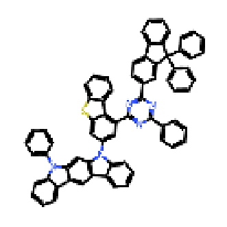 c1ccc(-c2nc(-c3ccc4c(c3)C(c3ccccc3)(c3ccccc3)c3ccccc3-4)nc(-c3cc(-n4c5ccccc5c5cc6c7ccccc7n(-c7ccccc7)c6cc54)cc4sc5ccccc5c34)n2)cc1